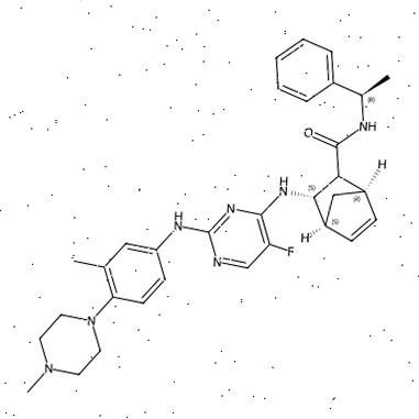 Cc1cc(Nc2ncc(F)c(N[C@@H]3C(C(=O)N[C@H](C)c4ccccc4)[C@H]4C=C[C@@H]3C4)n2)ccc1N1CCN(C)CC1